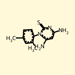 Cc1ccc(-n2c(N)cc(N)nc2=S)c(C)c1